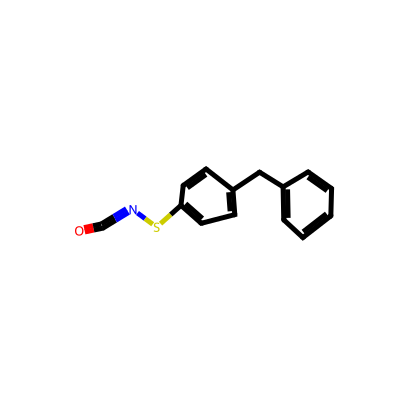 O=C=NSc1ccc(Cc2ccccc2)cc1